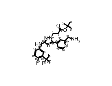 CC(C)(C)OC(=O)CCn1nc(Nc2ccc(F)c(C(F)(F)F)c2)nc1-c1ccnc(CN)c1